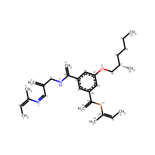 C=C(/C=N\C(C)=C/C)CNC(=C)c1cc(OC[C@@H](C)CCCC)cc(C(=C)S/C(C)=C\C)c1